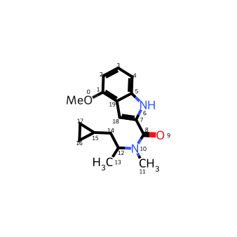 COc1cccc2[nH]c(C(=O)N(C)C(C)CC3CC3)cc12